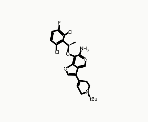 C[C@@H](Oc1c(N)ncc2c(C3=CCN(C(C)(C)C)CC3)coc12)c1c(Cl)ccc(F)c1Cl